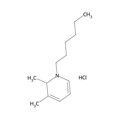 CCCCCCN1C=CC=C(C)C1C.Cl